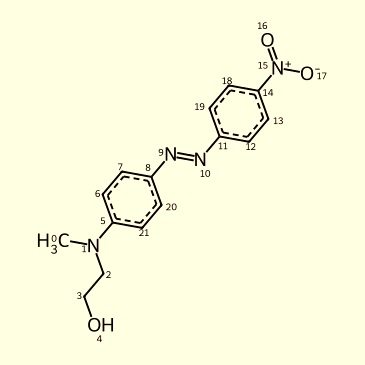 CN(CCO)c1ccc(N=Nc2ccc([N+](=O)[O-])cc2)cc1